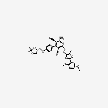 COc1ccc(OC)c(-c2nc(CSc3nc(N)c(C#N)c(-c4ccc(OC[C@@H]5COC(C)(C)O5)cc4)c3C#N)c(C)o2)c1